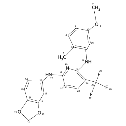 COc1ccc(C)c(Nc2nc(Nc3ccc4c(c3)OCO4)ncc2C(F)(F)F)c1